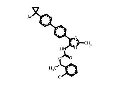 CC(=O)C1(c2ccc(-c3ccc(-c4nc(C)oc4NC(=O)O[C@H](C)c4ccccc4Cl)cc3)cc2)CC1